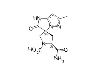 Cc1cc2n(n1)[C@@]1(C[C@@H](C(N)=O)N(C(=O)O)C1)C(=O)N2